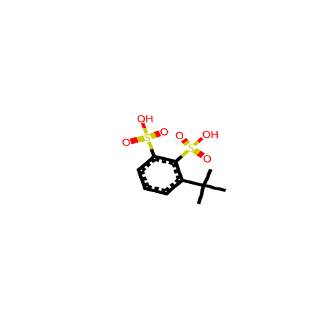 CC(C)(C)c1cccc(S(=O)(=O)O)c1S(=O)(=O)O